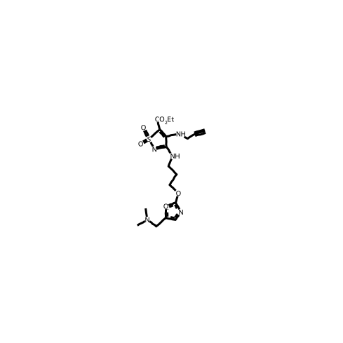 C#CCNC1=C(C(=O)OCC)S(=O)(=O)N=C1NCCCOc1ncc(CN(C)C)o1